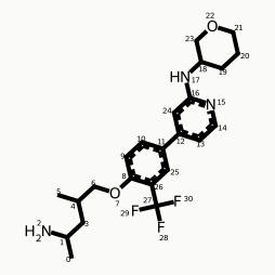 CC(N)CC(C)COc1ccc(-c2ccnc(NC3CCCOC3)c2)cc1C(F)(F)F